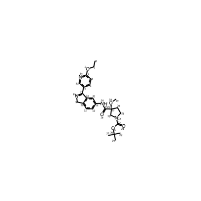 CCOc1ccc(C2=NCc3ccc(NC(=O)[C@]4(OC)CCN(C(=O)OC(C)(C)C)C4)cc32)cn1